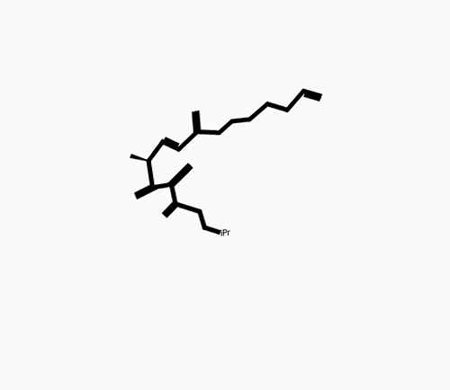 C=CCCCCCC(=C)/C=C/[C@H](C)C(=C)C(=C)C(=C)CCC(C)C